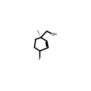 C[C@]1(CO)C=CC(F)CC1